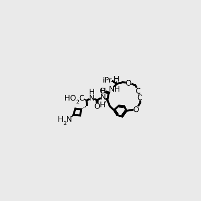 CC(C)[C@H]1COCCCCOc2ccc(cc2)C[C@@H](NC(=O)N[C@@H](C[C@H]2C[C@H](N)C2)C(=O)O)C(=O)N1